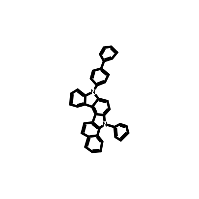 c1ccc(-c2ccc(-n3c4ccccc4c4c5c6ccc7ccccc7c6n(-c6ccccc6)c5ccc43)cc2)cc1